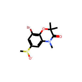 CN1C(=O)C(C)(C)Oc2c(Br)cc([S+](C)[O-])cc21